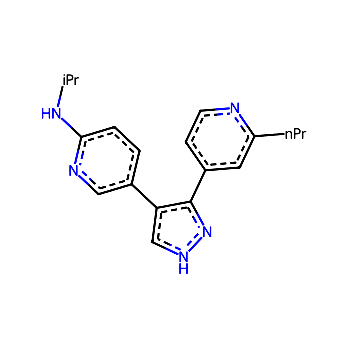 CCCc1cc(-c2n[nH]cc2-c2ccc(NC(C)C)nc2)ccn1